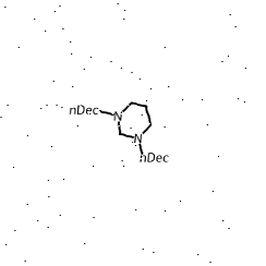 CCCCCCCCCCN1CCCN(CCCCCCCCCC)C1